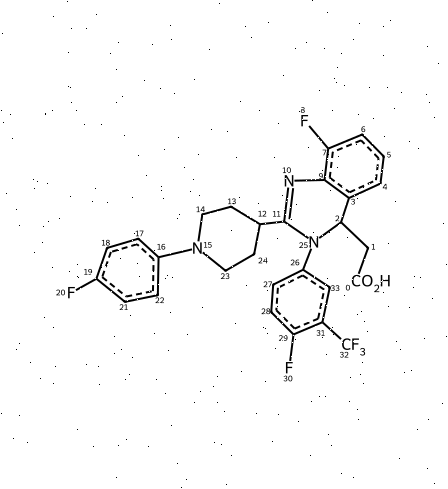 O=C(O)CC1c2cccc(F)c2N=C(C2CCN(c3ccc(F)cc3)CC2)N1c1ccc(F)c(C(F)(F)F)c1